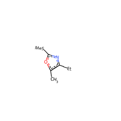 CCc1nc(SC)oc1C